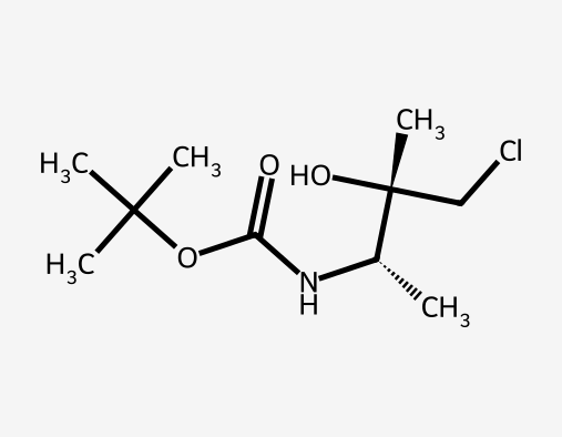 C[C@H](NC(=O)OC(C)(C)C)[C@](C)(O)CCl